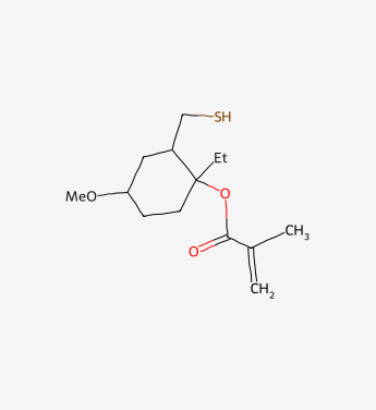 C=C(C)C(=O)OC1(CC)CCC(OC)CC1CS